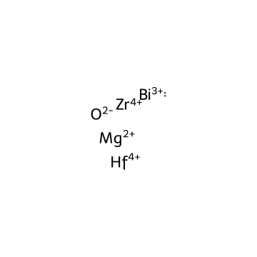 [Bi+3].[Hf+4].[Mg+2].[O-2].[Zr+4]